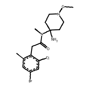 CON1CCC(N)(N(C)C(=O)Cc2c(C)cc(Br)cc2Cl)CC1